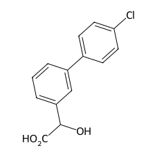 O=C(O)C(O)c1cccc(-c2ccc(Cl)cc2)c1